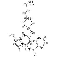 CC(C)c1cnn2c(N[C@@H](C)c3ccccc3)nc(OC3CCN(CCCN)CC3)nc12